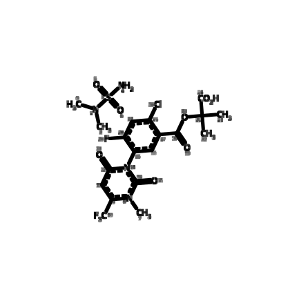 CN(C)S(N)(=O)=O.Cn1c(C(F)(F)F)cc(=O)n(-c2cc(C(=O)OC(C)(C)C(=O)O)c(Cl)cc2F)c1=O